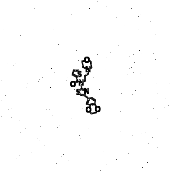 O=C(c1cccs1)N(CCCN1CCOCC1)c1nc(-c2ccc3c(c2)OCCO3)cs1